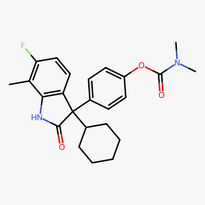 Cc1c(F)ccc2c1NC(=O)C2(c1ccc(OC(=O)N(C)C)cc1)C1CCCCC1